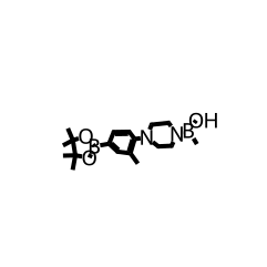 CB(O)N1CCN(c2ccc(B3OC(C)(C)C(C)(C)O3)cc2C)CC1